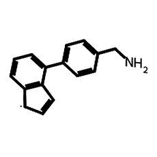 NCc1ccc(-c2cccc3c2C=C[CH]3)cc1